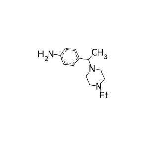 CCN1CCN(C(C)c2ccc(N)cc2)CC1